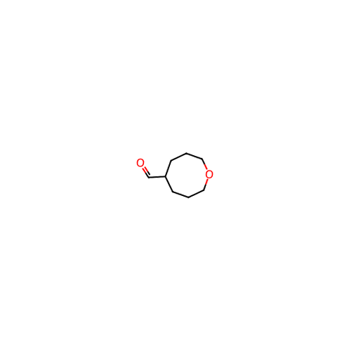 O=CC1CCCOCCC1